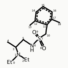 CCN(CC)C(C)CNS(=O)(=O)Cc1c(C)cccc1C